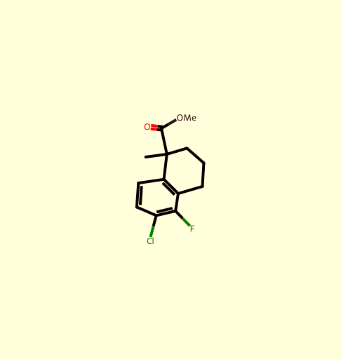 COC(=O)C1(C)CCCc2c1ccc(Cl)c2F